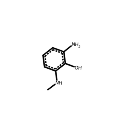 CNc1cccc(N)c1O